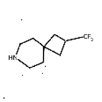 FC(F)(F)C1CC2(CCNCC2)C1